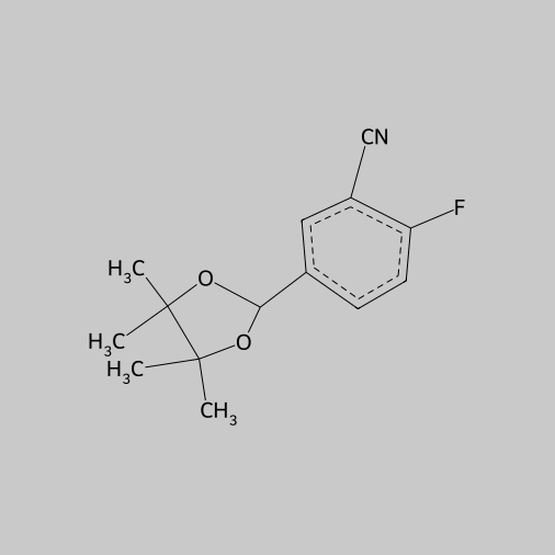 CC1(C)OC(c2ccc(F)c(C#N)c2)OC1(C)C